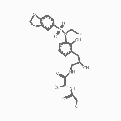 CC[C@H](C)[C@@H](NC(=O)CCl)C(=O)NCC(C)Cc1cccc(N(CC(C)C)S(=O)(=O)c2ccc3c(c2)OCO3)c1O